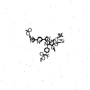 CCOC(=O)C(F)[C@H]1CC[C@@H](c2nc3c(-c4ccc(-c5cnn(CCOC(C)=O)c5)nc4)cnn3c3c2c(OCC)c(OCC[Si](C)(C)C)n3COCC[Si](C)(C)C)CC1